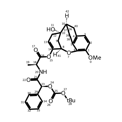 COc1ccc2c3c1O[C@@H]1C[C@@](O)(CC=C1OC(=O)[C@H](C)NC(=O)[C@@H](OC(=O)OC(C)(C)C)c1ccccc1)[C@H](CCCC3)C2